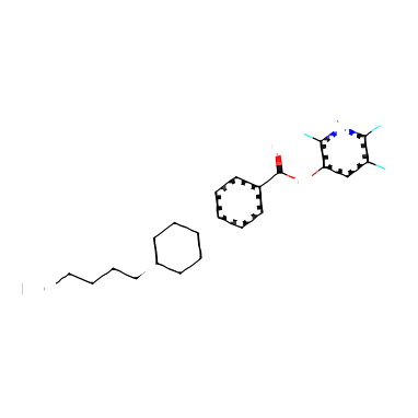 CCCCC[C@H]1CC[C@H](c2ccc(C(=O)Oc3cc(F)c(F)nc3F)cc2)CC1